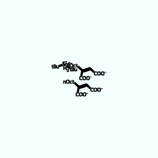 CCCCCCCC/C(=C/C(=O)[O-])C(=O)[O-].CCCCCCCC/C(=C/C(=O)[O-])C(=O)[O-].C[C](C)(C)[SnH2+4][C](C)(C)C